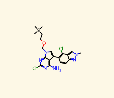 Cn1cc2c(Cl)c(-c3cn(COCC[Si](C)(C)C)c4nc(Cl)nc(N)c34)ccc2n1